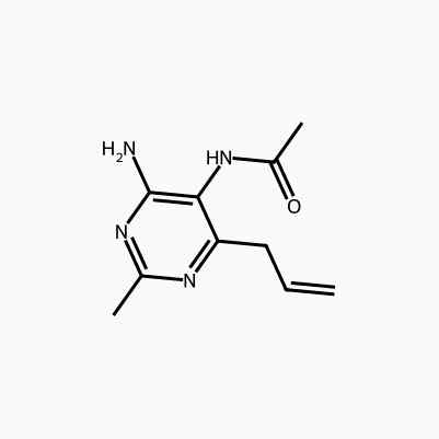 C=CCc1nc(C)nc(N)c1NC(C)=O